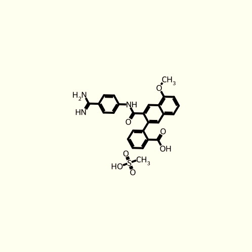 COc1cccc2cc(-c3ccccc3C(=O)O)c(C(=O)Nc3ccc(C(=N)N)cc3)cc12.CS(=O)(=O)O